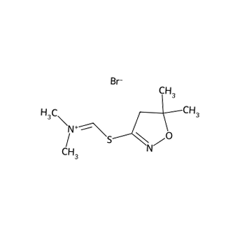 C[N+](C)=CSC1=NOC(C)(C)C1.[Br-]